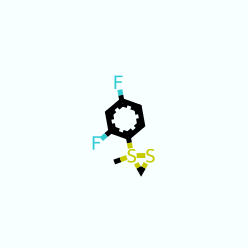 CS1(c2ccc(F)cc2F)CS1